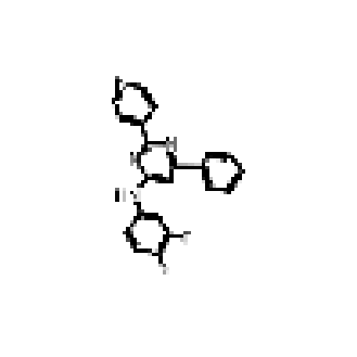 Fc1ccc(Nc2cc(-c3ccccc3)nc(-c3ccncc3)n2)cc1F